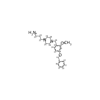 COc1cc(OCc2ccccc2)ccc1CN1CCN(CCCN)CC1